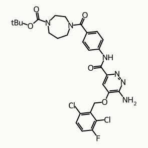 CC(C)(C)OC(=O)N1CCCN(C(=O)c2ccc(NC(=O)c3cc(OCc4c(Cl)ccc(F)c4Cl)c(N)nn3)cc2)CC1